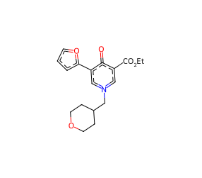 CCOC(=O)c1cn(CC2CCOCC2)cc(-c2ccco2)c1=O